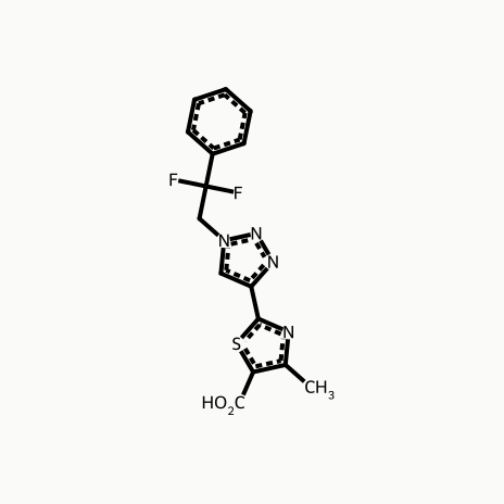 Cc1nc(-c2cn(CC(F)(F)c3ccccc3)nn2)sc1C(=O)O